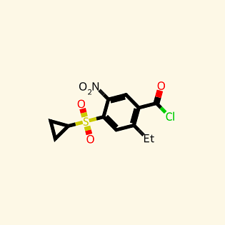 CCc1cc(S(=O)(=O)C2CC2)c([N+](=O)[O-])cc1C(=O)Cl